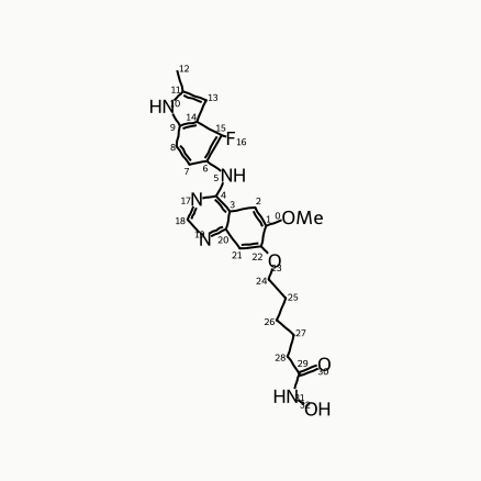 COc1cc2c(Nc3ccc4[nH]c(C)cc4c3F)ncnc2cc1OCCCCCC(=O)NO